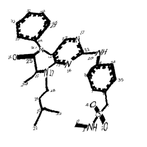 CNS(=O)(=O)Cc1ccc(Nc2ncc3c(n2)N(CCC(C)C)C(C)C(=O)N3c2ccccc2)cc1